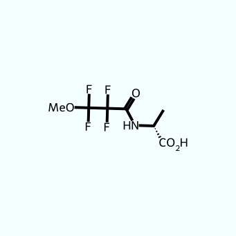 COC(F)(F)C(F)(F)C(=O)N[C@H](C)C(=O)O